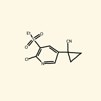 CCS(=O)(=O)c1cc(C2(C#N)CC2)cnc1Cl